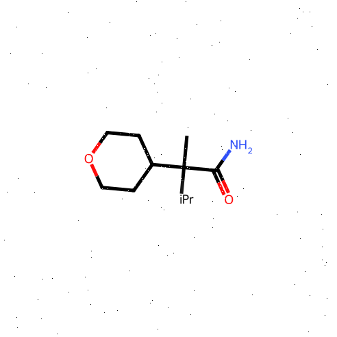 CC(C)C(C)(C(N)=O)C1CCOCC1